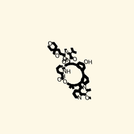 CCn1c(-c2cccnc2[C@H](C)OC)c2c3cc(ccc31)-c1cc(O)cc(c1)C[C@H](NC(=O)[C@H](C(C)C)N(C)C(=O)C1CC3(CCOCC3)CO1)C(=O)N1CCC[C@H](N1)C(=O)OCC(C)(C)C2